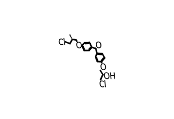 C[C@H](CCl)COc1ccc(C(=O)c2ccc(OCC(O)CCl)cc2)cc1